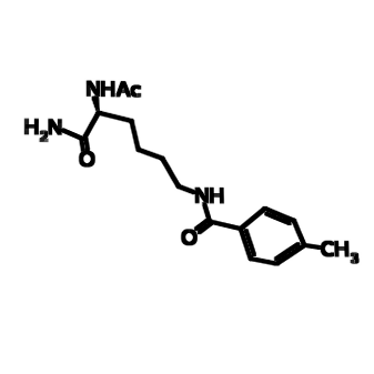 CC(=O)N[C@@H](CCCCNC(=O)c1ccc(C)cc1)C(N)=O